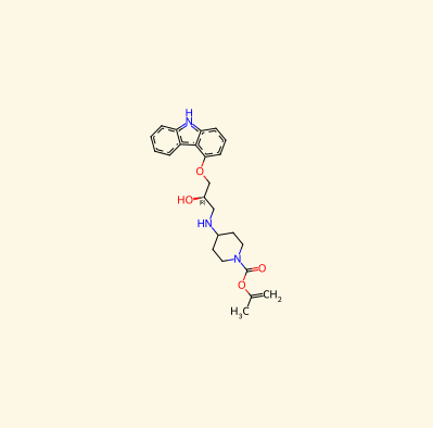 C=C(C)OC(=O)N1CCC(NC[C@@H](O)COc2cccc3[nH]c4ccccc4c23)CC1